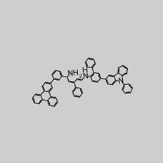 NC(/C=C(\C=C\Nc1ccc(-c2ccc3c(c2)c2ccccc2n3-c2ccccc2)cc1-c1ccccc1)c1ccccc1)c1cccc(-c2ccc3c4ccccc4c4ccccc4c3c2)c1